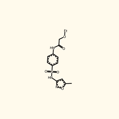 CCOCC(=O)Nc1ccc(S(=O)(=O)Nc2cc(C)on2)cc1